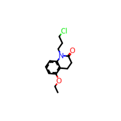 CCOc1cccc2c1CCC(=O)N2CCCCl